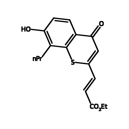 CCCc1c(O)ccc2c(=O)cc(C=CC(=O)OCC)sc12